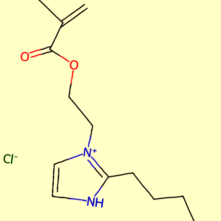 C=C(C)C(=O)OCC[n+]1cc[nH]c1CCCC.[Cl-]